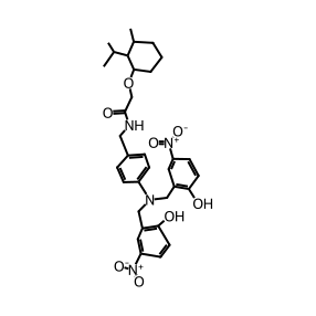 CC(C)C1C(C)CCCC1OCC(=O)NCc1ccc(N(Cc2cc([N+](=O)[O-])ccc2O)Cc2cc([N+](=O)[O-])ccc2O)cc1